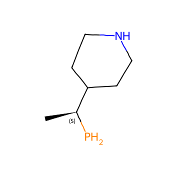 C[C@H](P)C1CCNCC1